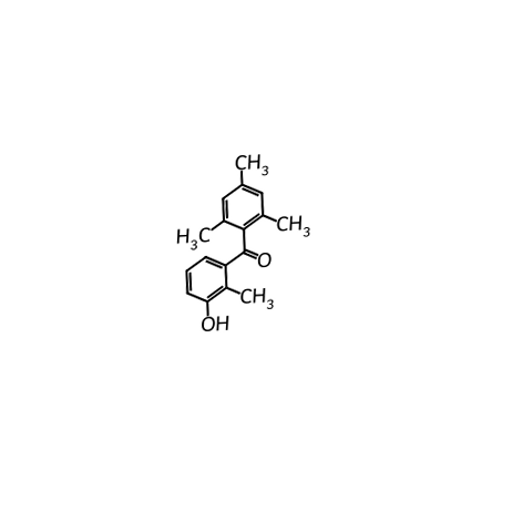 Cc1cc(C)c(C(=O)c2cccc(O)c2C)c(C)c1